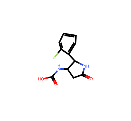 O=C(O)NC1CC(=O)NC1c1ccccc1F